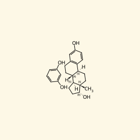 C[C@]12CC[C@@H]3c4ccc(O)cc4CC[C@H]3[C@@H]1CC[C@H]2O.Oc1cccc(O)c1